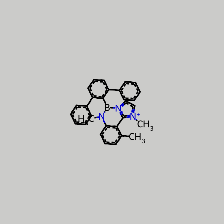 Cc1cccc2c1-c1n(cc[n+]1C)B(c1c(-c3ccccc3)cccc1-c1ccccc1)N2C